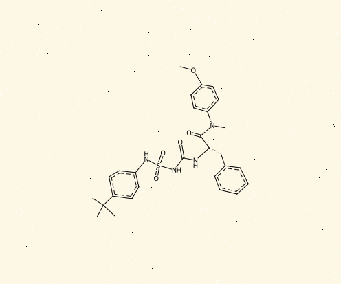 COc1ccc(N(C)C(=O)[C@H](Cc2ccccc2)NC(=O)NS(=O)(=O)Nc2ccc(C(C)(C)C)cc2)cc1